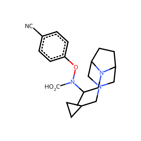 CC(CN1C2CCC1CN(CC1CC1)C2)N(Oc1ccc(C#N)cc1)C(=O)O